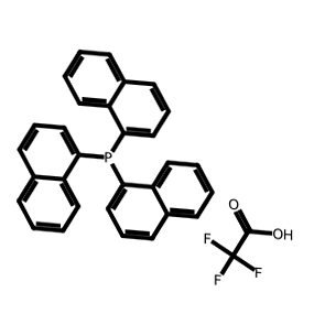 O=C(O)C(F)(F)F.c1ccc2c(P(c3cccc4ccccc34)c3cccc4ccccc34)cccc2c1